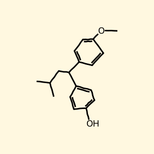 COc1ccc(C(CC(C)C)c2ccc(O)cc2)cc1